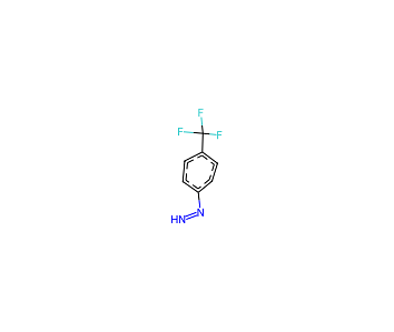 N=Nc1ccc(C(F)(F)F)cc1